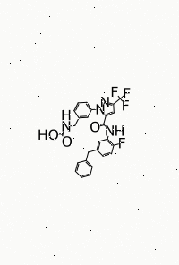 O=C(O)NCc1cccc(-n2nc(C(F)(F)F)cc2C(=O)Nc2cc(Cc3ccccc3)ccc2F)c1